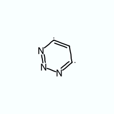 [c]1c[c]nnn1